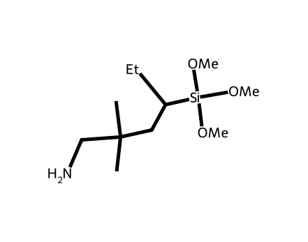 CCC(CC(C)(C)CN)[Si](OC)(OC)OC